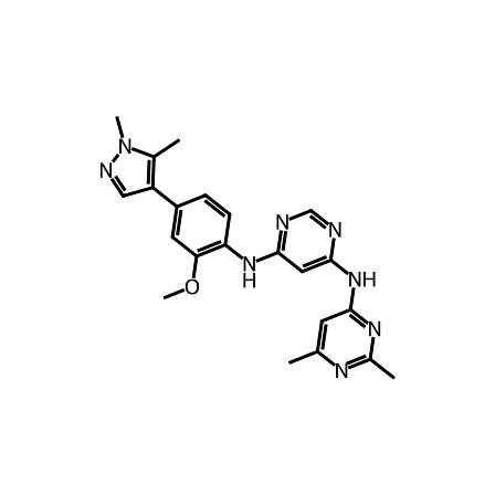 COc1cc(-c2cnn(C)c2C)ccc1Nc1cc(Nc2cc(C)nc(C)n2)ncn1